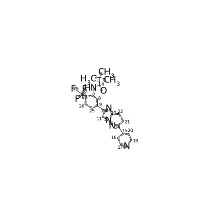 CC(C)(C)C(=O)Nc1cc(-c2cn3nc(-c4ccncc4)ccc3n2)ccc1C(F)(F)F